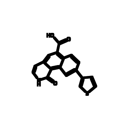 O=C(O)c1cc2cc[nH]c(=O)c2c2cc(-c3ccsc3)ccc12